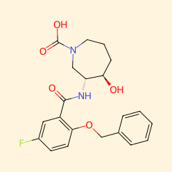 O=C(N[C@@H]1CN(C(=O)O)CCC[C@H]1O)c1cc(F)ccc1OCc1ccccc1